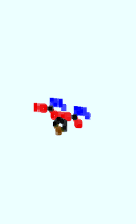 NC(=O)O.NC(=O)O.c1ccsc1